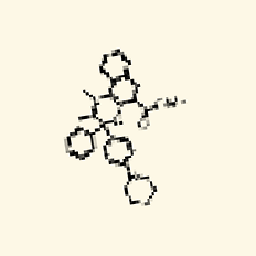 COC(=O)c1cc2ccccc2c2c1OC(c1ccccc1)(c1ccc(N3CCCCC3)cc1)C(C)=C2C